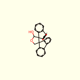 OC1OCC2(c3ccccc3-c3ccccc32)C12c1ccccc1-c1ccccc12